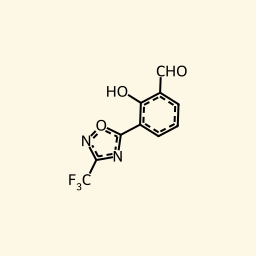 O=Cc1cccc(-c2nc(C(F)(F)F)no2)c1O